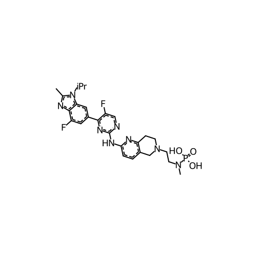 Cc1nc2c(F)cc(-c3nc(Nc4ccc5c(n4)CCN(CCN(C)P(=O)(O)O)C5)ncc3F)cc2n1C(C)C